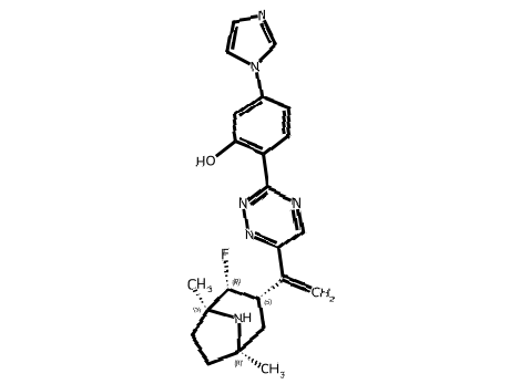 C=C(c1cnc(-c2ccc(-n3ccnc3)cc2O)nn1)[C@@H]1C[C@@]2(C)CC[C@](C)(N2)[C@@H]1F